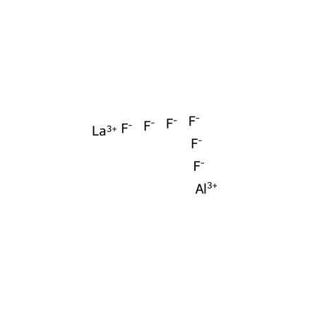 [Al+3].[F-].[F-].[F-].[F-].[F-].[F-].[La+3]